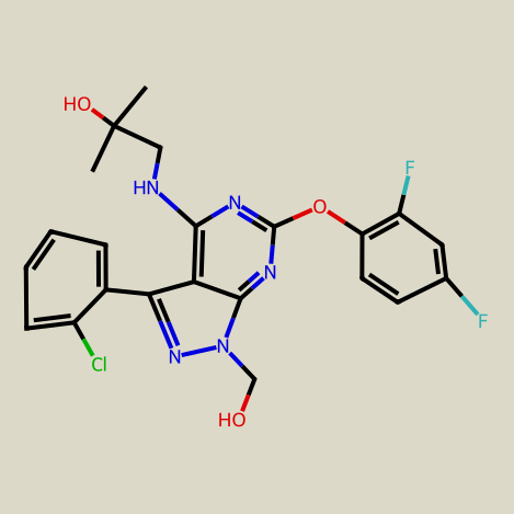 CC(C)(O)CNc1nc(Oc2ccc(F)cc2F)nc2c1c(-c1ccccc1Cl)nn2CO